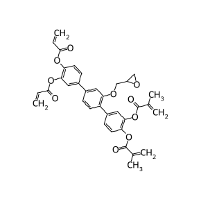 C=CC(=O)Oc1ccc(-c2ccc(-c3ccc(OC(=O)C(=C)C)c(OC(=O)C(=C)C)c3)c(OCC3CO3)c2)cc1OC(=O)C=C